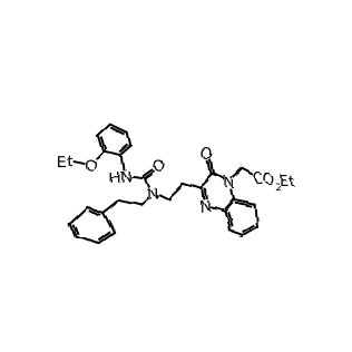 CCOC(=O)Cn1c(=O)c(CCN(CCc2ccccc2)C(=O)Nc2ccccc2OCC)nc2ccccc21